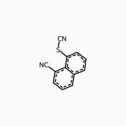 N#CSc1cccc2cccc(C#N)c12